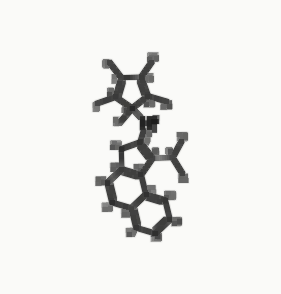 CC1=C(C)[C](C)([Hf][C]2=C(C(C)C)c3c(ccc4ccccc34)C2)C(C)=C1C